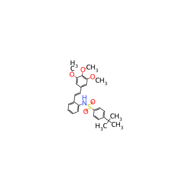 COc1cc(C=Cc2ccccc2NS(=O)(=O)c2ccc(C(C)(C)C)cc2)cc(OC)c1OC